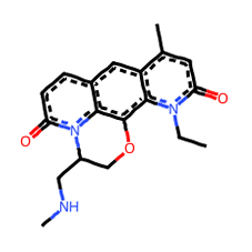 CCn1c(=O)cc(C)c2cc3ccc(=O)n4c3c(c21)OCC4CNC